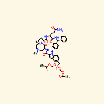 CC(C)N1CC[C@H]2CC[C@@H](C(=O)N[C@@H](CCC(N)=O)C(=O)NC(c3ccccc3)c3ccccc3)N2C(=O)[C@@H](NC(=O)c2cc3cc(CP(=O)(OCOC(=O)C(C)(C)C)OCOC(=O)C(C)(C)C)ccc3[nH]2)C1